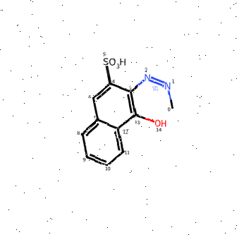 C/N=N\c1c(S(=O)(=O)O)cc2ccccc2c1O